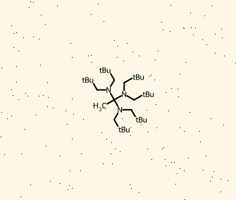 [CH2]C(N(CC(C)(C)C)CC(C)(C)C)(N(CC(C)(C)C)CC(C)(C)C)N(CC(C)(C)C)CC(C)(C)C